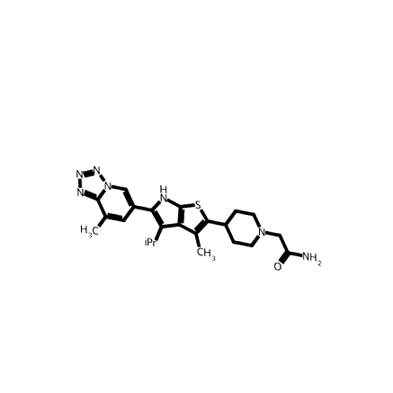 Cc1c(C2CCN(CC(N)=O)CC2)sc2[nH]c(-c3cc(C)c4nnnn4c3)c(C(C)C)c12